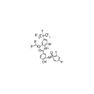 N#Cc1ccc(C(=O)Nc2c(Br)cc(C(F)(C(F)(F)F)C(F)(F)F)cc2OC(F)F)cc1NC(=O)c1ccc(F)cc1F